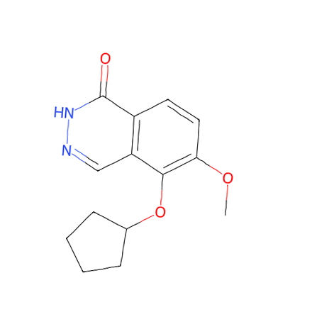 COc1ccc2c(=O)[nH]ncc2c1OC1CCCC1